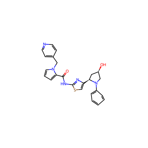 O=C(Nc1nc([C@H]2C[C@@H](O)CN2c2ccccc2)cs1)c1cccn1Cc1ccncc1